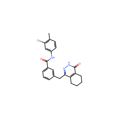 Cc1ccc(NC(=O)c2cccc(Cc3n[nH]c(=O)c4c3CCCC4)c2)cc1Cl